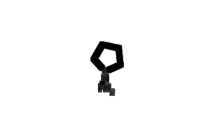 P[SH]1CCCC1